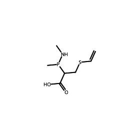 C=CSCC(C(=O)O)P(C)NC